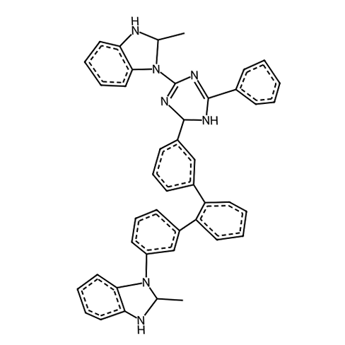 CC1Nc2ccccc2N1C1=NC(c2cccc(-c3ccccc3-c3cccc(N4c5ccccc5NC4C)c3)c2)NC(c2ccccc2)=N1